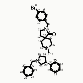 O=C1N(Cc2ccc(Br)cc2)CCC12CCN(C[C@H]1CN(Cc3ccccc3)C[C@@H]1c1ccccc1)CC2